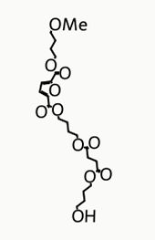 COCCCCOC(=O)c1ccc(C(=O)OCCCCOC(=O)CCC(=O)OCCCCO)o1